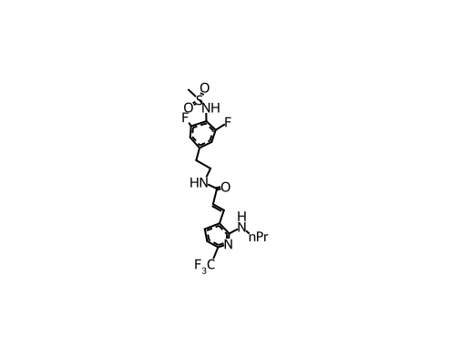 CCCNc1nc(C(F)(F)F)ccc1C=CC(=O)NCCc1cc(F)c(NS(C)(=O)=O)c(F)c1